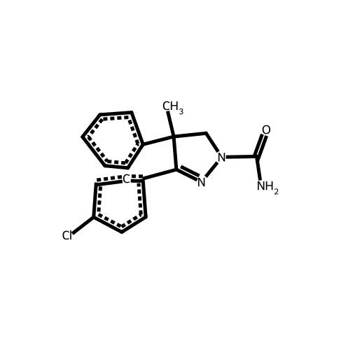 CC1(c2ccccc2)CN(C(N)=O)N=C1c1ccc(Cl)cc1